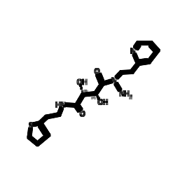 NN(CCc1ccccn1)C(=O)[C@H](O)[C@@H](O)C(=O)NCCC1=CCCS1